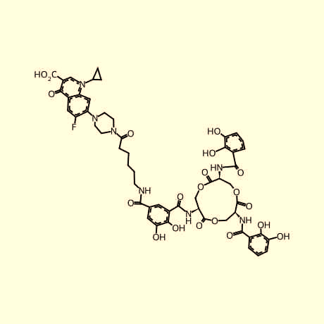 O=C(NCCCCCC(=O)N1CCN(c2cc3c(cc2F)c(=O)c(C(=O)O)cn3C2CC2)CC1)c1cc(O)c(O)c(C(=O)N[C@H]2COC(=O)[C@@H](NC(=O)c3cccc(O)c3O)COC(=O)[C@@H](NC(=O)c3cccc(O)c3O)COC2=O)c1